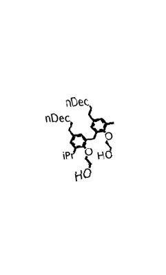 CCCCCCCCCCCCc1cc(C)c(OCCO)c(Cc2cc(CCCCCCCCCCCC)cc(C(C)C)c2OCCO)c1